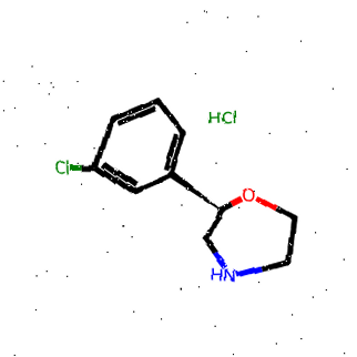 Cl.Clc1cccc([C@@H]2CNCCO2)c1